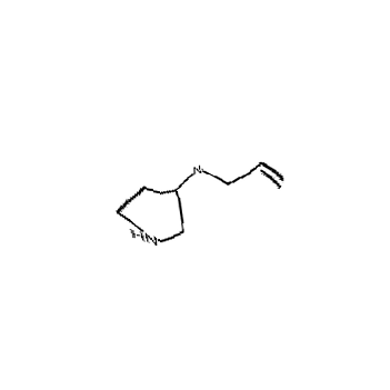 C=CC[N]C1CCNC1